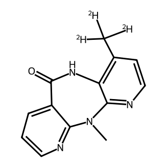 [2H]C([2H])([2H])c1ccnc2c1NC(=O)c1cccnc1N2C